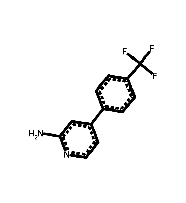 Nc1cc(-c2ccc(C(F)(F)F)cc2)ccn1